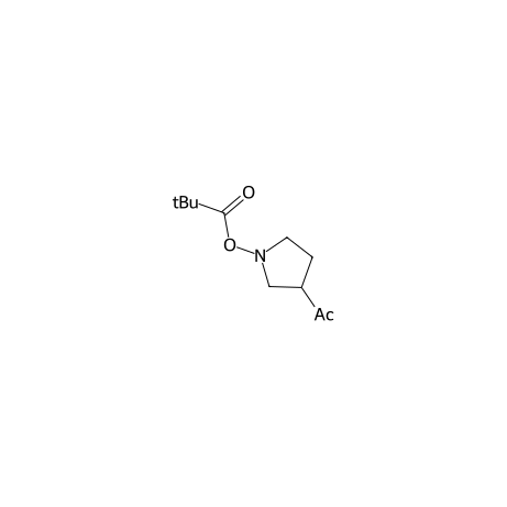 CC(=O)C1CCN(OC(=O)C(C)(C)C)C1